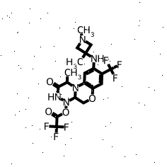 CC1C(=O)NN(OC(=O)C(F)(F)F)C2COc3cc(C(F)(F)F)c(NC4(C)CN(C)C4)cc3N12